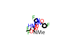 CNC(=O)C(=O)[C@H](CCC(C)(F)F)NC(=O)c1cc(F)cnc1NC(=O)c1cccc(F)c1